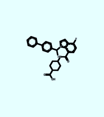 CC(c1ccc(-c2ccccc2)cc1)n1ccc2c(F)ccc(C(=O)NC3CCC(C(=O)O)CC3)c21